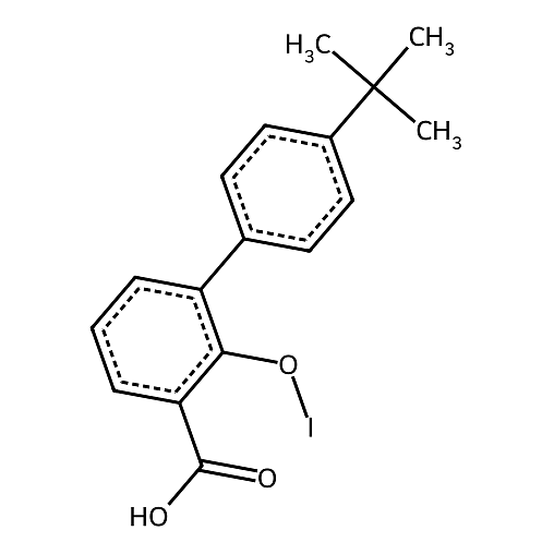 CC(C)(C)c1ccc(-c2cccc(C(=O)O)c2OI)cc1